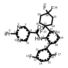 CC(C)c1ncc(C(=O)Nc2c(-c3cc(F)ccc3F)ccnc2C2(F)CCC(F)(F)CC2)cn1